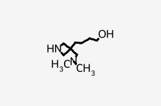 CN(C)CC1(CCCCO)CNC1